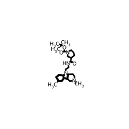 Cc1ccc2c(c1)c1c(n2CCNC(=O)C2CCCN(C(=O)OC(C)(C)C)C2)CCN(C)C1